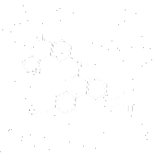 COc1ccc(-c2cc(S(C)(=O)=O)ccc2C(=O)Nc2ccc(Cl)c(-c3nccs3)c2)cc1